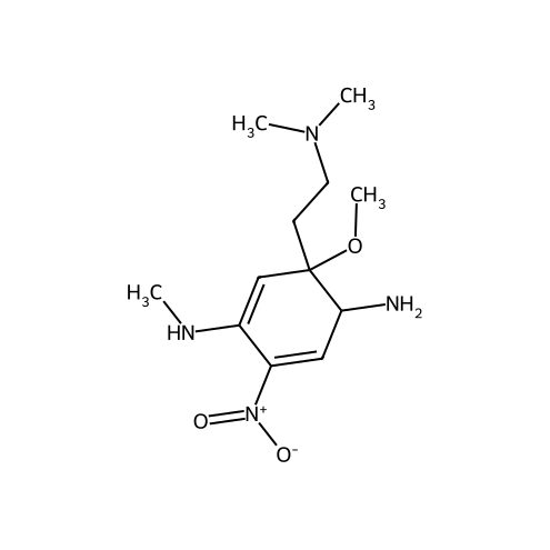 CNC1=CC(CCN(C)C)(OC)C(N)C=C1[N+](=O)[O-]